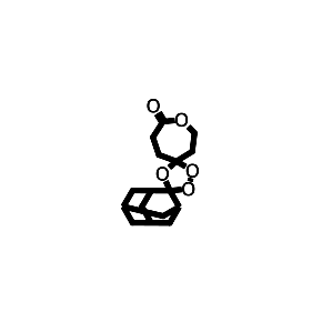 O=C1CCC2(CCO1)OOC1(O2)C2CC3CC(C2)CC1C3